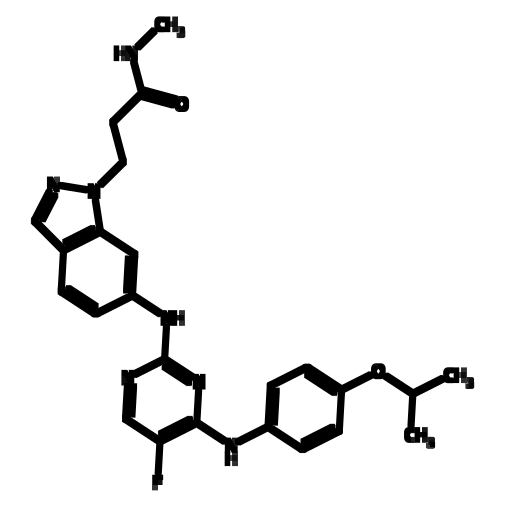 CNC(=O)CCn1ncc2ccc(Nc3ncc(F)c(Nc4ccc(OC(C)C)cc4)n3)cc21